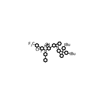 CC(C)(C)c1ccc(C2(c3ccc(C(C)(C)C)cc3)c3ccccc3-c3ccc(-n4c5ccccc5c5ccc(-c6ccc(N(c7ccc(-c8ccccc8)cc7)c7ccc(-c8ccc(C(F)(F)F)cc8C(F)(F)F)cc7)c7nsnc67)cc54)cc32)cc1